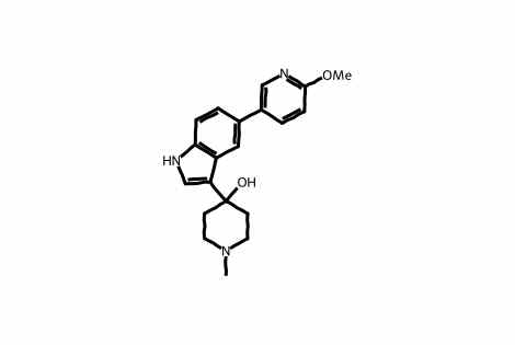 COc1ccc(-c2ccc3[nH]cc(C4(O)CCN(C)CC4)c3c2)cn1